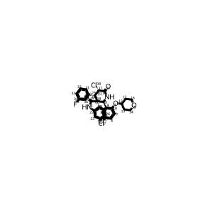 O=C1N[C@@H](c2cc(Cl)ccc2OC2CCOCC2)[C@@]2(C(=O)Nc3cc(Cl)ccc32)[C@H](c2cccc(F)c2)[C@@H]1Cl